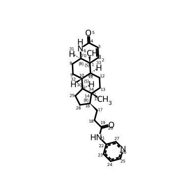 C[C@]12C=CC(=O)N[C@@H]1CC[C@@H]1[C@@H]2CC[C@]2(C)[C@@H](CCC(=O)Nc3cccnc3)CC[C@@H]12